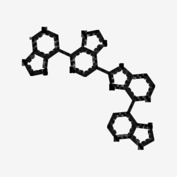 [c]1ncc(-c2ncc(-c3nc4c(-c5ccnc6ncsc56)nccc4s3)c3scnc23)c2scnc12